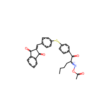 CCCC/C(=N\OC(C)=O)C(=O)c1ccc(Sc2ccc(C=C3C(=O)c4ccccc4C3=O)cc2)cc1